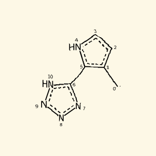 [CH2]c1cc[nH]c1-c1nnn[nH]1